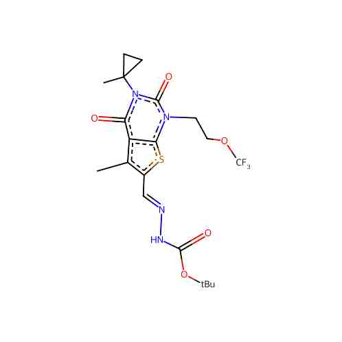 Cc1c(/C=N/NC(=O)OC(C)(C)C)sc2c1c(=O)n(C1(C)CC1)c(=O)n2CCOC(F)(F)F